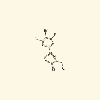 O=c1ccn(-c2cc(F)c(Br)c(F)c2)nc1CCl